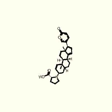 C[C@]12CC[C@H](N3CCC[C@@H]3C(=O)O)C[C@H]1CC[C@H]1C3=CC[C@H](c4ccc(=O)oc4)[C@@]3(C)CC[C@@H]12